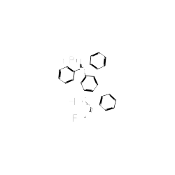 CCCC[B-](c1ccccc1)(c1ccccc1)c1ccccc1.CCO[S+](C)c1ccccc1